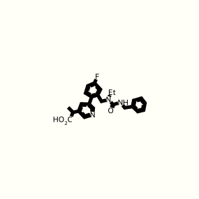 CCN(Cc1cc(F)ccc1-c1cncc(C(C)C(=O)O)c1)C(=O)NCc1ccccc1